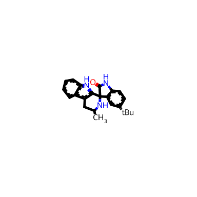 CC1Cc2c([nH]c3ccccc23)C2(N1)C(=O)Nc1ccc(C(C)(C)C)cc12